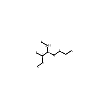 CCCC[C@H](NC)C(C)CC